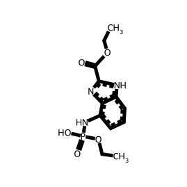 CCOC(=O)c1nc2c(NP(=O)(O)OCC)cccc2[nH]1